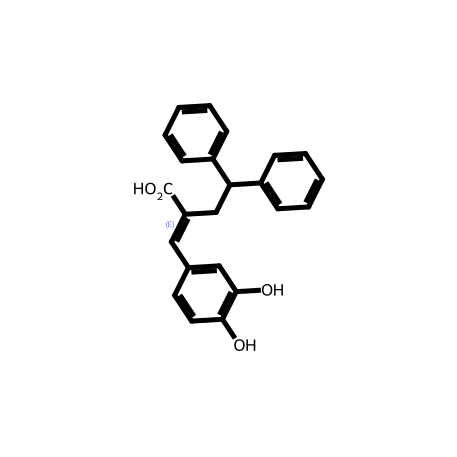 O=C(O)/C(=C/c1ccc(O)c(O)c1)CC(c1ccccc1)c1ccccc1